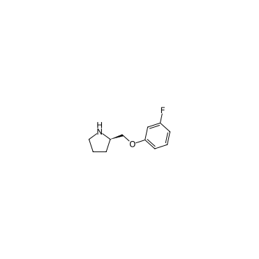 Fc1cccc(OC[C@H]2CCCN2)c1